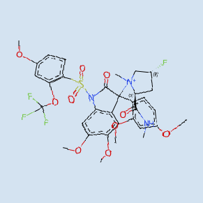 CNC(=O)[C@@H]1C[C@@H](F)C[N+]1(C)C1(c2ccc(OC)cc2OC)C(=O)N(S(=O)(=O)c2ccc(OC)cc2OC(F)(F)F)c2cc(OC)c(OC)cc21